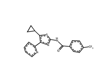 O=C(Nc1nc(-c2ccccn2)c(C2CC2)s1)c1ccc(C(F)(F)F)cc1